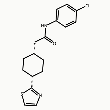 O=C(C[C@H]1CC[C@@H](c2nccs2)CC1)Nc1ccc(Cl)cc1